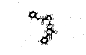 O=C(NCc1ccccc1)C1CCCN1c1nc2c(=O)[nH]c(-c3ccccc3)nc2s1